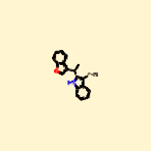 CC(c1[nH]c2ccccc2c1C=O)c1coc2ccccc12